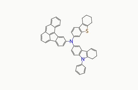 C1=Cc2c(n(-c3ccccc3)c3ccc(N(c4ccc5c(c4)-c4c6ccccc6cc6cccc-5c46)c4ccc5c6c(sc5c4)CCCC6)cc23)CC1